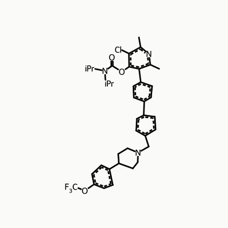 Cc1nc(C)c(-c2ccc(-c3ccc(CN4CCC(c5ccc(OC(F)(F)F)cc5)CC4)cc3)cc2)c(OC(=O)N(C(C)C)C(C)C)c1Cl